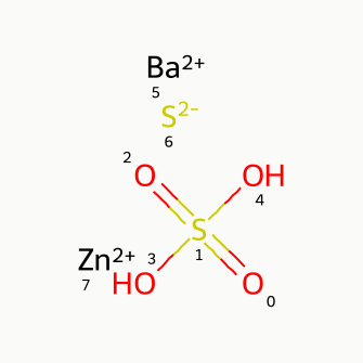 O=S(=O)(O)O.[Ba+2].[S-2].[Zn+2]